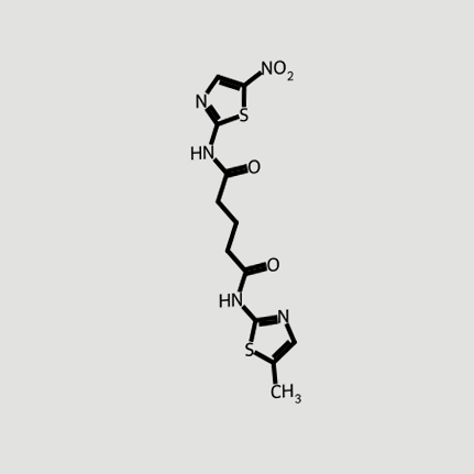 Cc1cnc(NC(=O)CCCC(=O)Nc2ncc([N+](=O)[O-])s2)s1